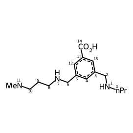 CCCNCc1cc(CNCCCNC)cc(C(=O)O)c1